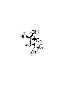 O=P(O)(O)O.[Ca+2].[Li+].[Zn+2]